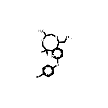 CCC1OCC(C)OCC(F)(F)c2nc(Oc3ccc(Br)cc3)ccc21